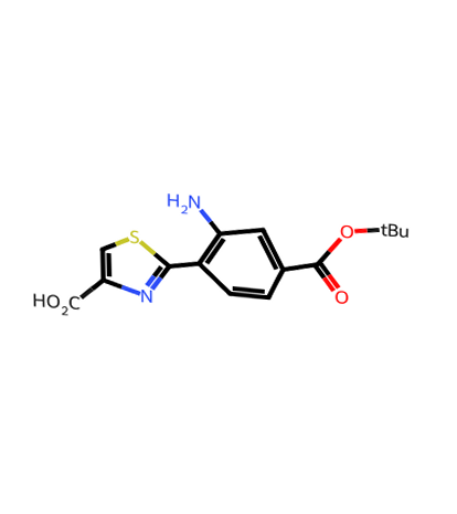 CC(C)(C)OC(=O)c1ccc(-c2nc(C(=O)O)cs2)c(N)c1